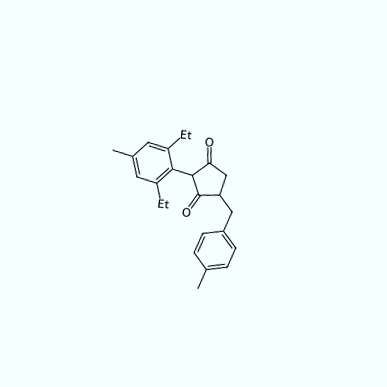 CCc1cc(C)cc(CC)c1C1C(=O)CC(Cc2ccc(C)cc2)C1=O